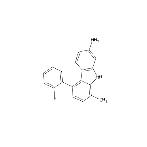 Cc1ccc(-c2ccccc2F)c2c1[nH]c1cc(N)ccc12